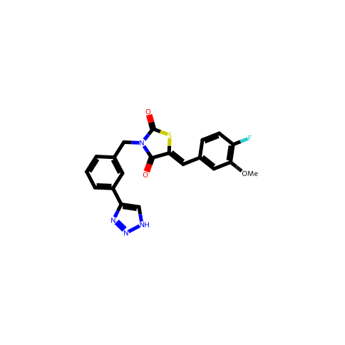 COc1cc(/C=C2\SC(=O)N(Cc3cccc(-c4c[nH]nn4)c3)C2=O)ccc1F